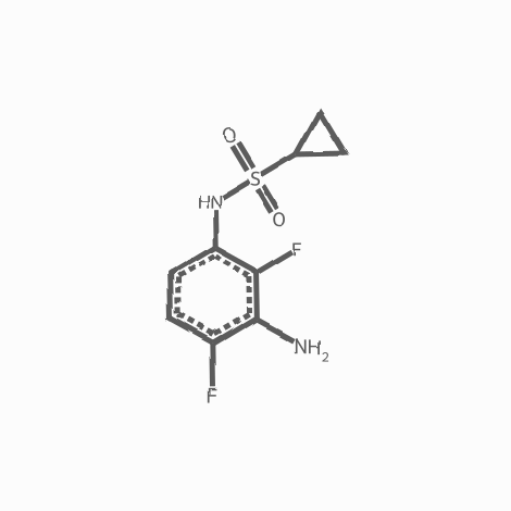 Nc1c(F)ccc(NS(=O)(=O)C2CC2)c1F